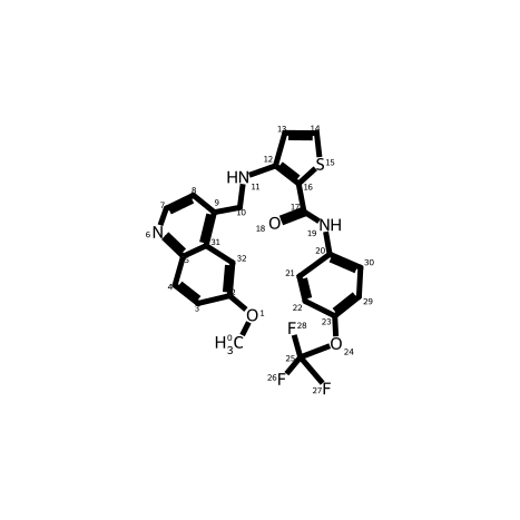 COc1ccc2nccc(CNc3ccsc3C(=O)Nc3ccc(OC(F)(F)F)cc3)c2c1